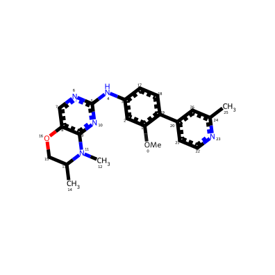 COc1cc(Nc2ncc3c(n2)N(C)C(C)CO3)ccc1-c1ccnc(C)c1